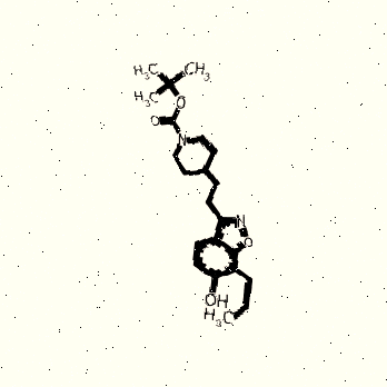 C/C=C\c1c(O)ccc2c(CCC3CCN(C(=O)OC(C)(C)C)CC3)noc12